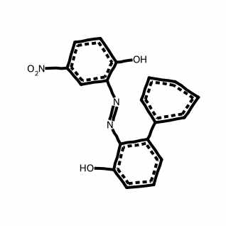 O=[N+]([O-])c1ccc(O)c(N=Nc2c(O)cccc2-c2ccccc2)c1